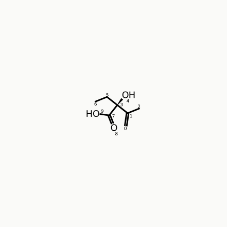 C=C(C)[C@@](O)(CC)C(=O)O